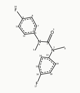 CN(C(=O)N(C)c1ccc(F)cc1)c1ccc(F)cc1